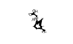 O=Cc1ccc(NCC(=O)O)cc1